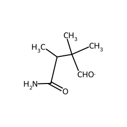 CC(C(N)=O)C(C)(C)[C]=O